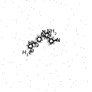 COc1cccc(NC(=O)[C@H]2CC[C@@H](n3cnc4c(N)nc(-c5cccc(C#N)c5)nc43)CC2)c1